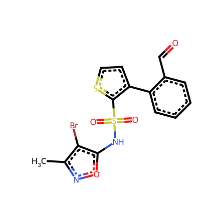 Cc1noc(NS(=O)(=O)c2sccc2-c2ccccc2C=O)c1Br